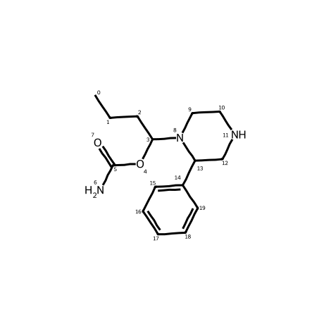 CCCC(OC(N)=O)N1CCNCC1c1ccccc1